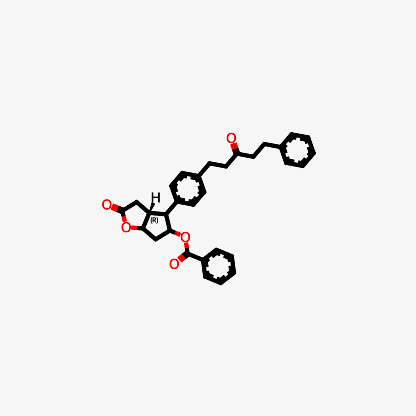 O=C(CCc1ccccc1)CCc1ccc(C2C(OC(=O)c3ccccc3)CC3OC(=O)C[C@@H]32)cc1